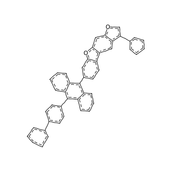 c1ccc(-c2ccc(-c3c4ccccc4c(-c4ccc5c(c4)oc4cc6occ(-c7ccccc7)c6cc45)c4ccccc34)cc2)cc1